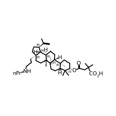 C=C(C)[C@@H]1CC[C@]2(CCCNCCC)CC[C@]3(C)[C@H](CC[C@@H]4[C@@]5(C)CC[C@H](OC(=O)CC(C)(C)C(=O)O)C(C)(C)[C@@H]5CC[C@]43C)[C@@H]12